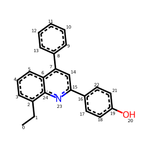 CCc1cccc2c(-c3ccccc3)cc(-c3ccc(O)cc3)nc12